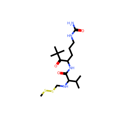 CSSCNC(C(=O)NC(CCCNC(N)=O)C(=O)C(C)(C)C)C(C)C